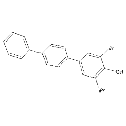 CC(C)c1cc(-c2ccc(-c3ccccc3)cc2)cc(C(C)C)c1O